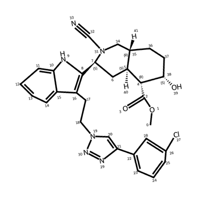 COC(=O)[C@@H]1[C@H]2C[C@@H](c3[nH]c4ccccc4c3CCn3cc(-c4cccc(Cl)c4)nn3)N(C#N)C[C@@H]2CC[C@@H]1O